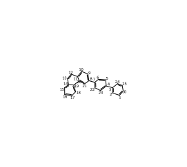 [c]1ccc(-c2ccc(-c3ccc4ccc5ccccc5c4c3)cc2)cc1